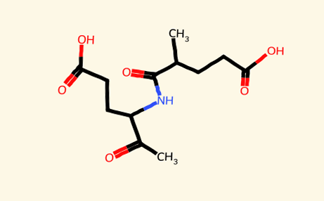 CC(=O)C(CCC(=O)O)NC(=O)C(C)CCC(=O)O